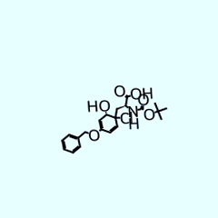 CC(C)(C)OC(=O)N[C@@H](CC1(Cl)C=CC(OCc2ccccc2)=C[C@@H]1O)C(=O)O